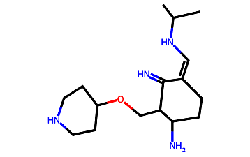 CC(C)N/C=C1/CCC(N)C(COC2CCNCC2)C1=N